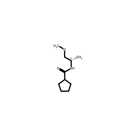 COC[C@H](C)NC(=O)C1CCCC1